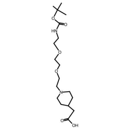 CC(C)(C)OC(=O)NCCOCCOCCN1CCC(CC(=O)O)CC1